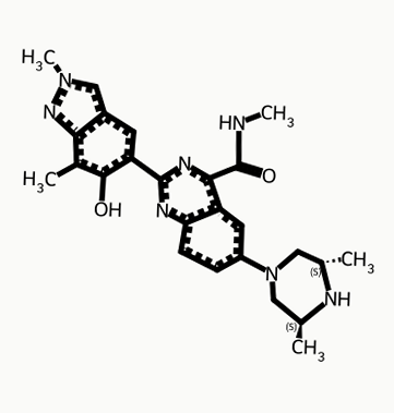 CNC(=O)c1nc(-c2cc3cn(C)nc3c(C)c2O)nc2ccc(N3C[C@H](C)N[C@@H](C)C3)cc12